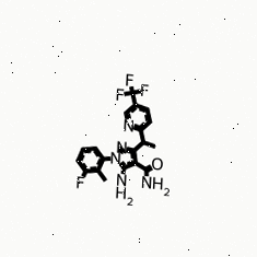 Cc1c(F)cccc1-n1nc(C(C)c2ccc(C(F)(F)F)cn2)c(C(N)=O)c1N